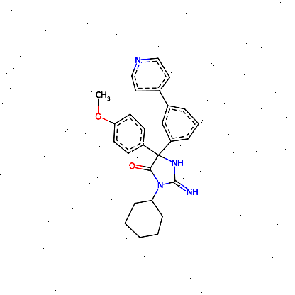 COc1ccc(C2(c3cccc(-c4ccncc4)c3)NC(=N)N(C3CCCCC3)C2=O)cc1